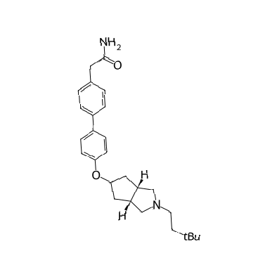 CC(C)(C)CCN1C[C@H]2CC(Oc3ccc(-c4ccc(CC(N)=O)cc4)cc3)C[C@H]2C1